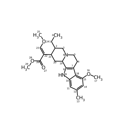 CCC1CN2CCc3c([nH]c4cc(C)cc(OC)c34)C2CC1/C(=C\OC)C(=O)OC